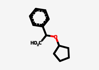 O=C(O)C(OC1CCCC1)c1ccccc1